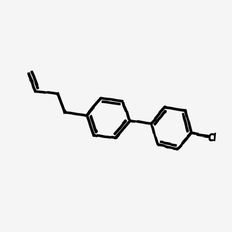 C=CCCc1ccc(-c2ccc(Cl)cc2)cc1